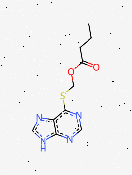 CCCC(=O)OCSc1ncnc2[nH]cnc12